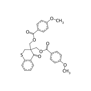 COc1ccc(C(=O)OCC2(COC(=O)c3ccc(OC)cc3)CSc3ccccc3C2=O)cc1